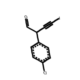 O=CC(C#CI)c1ccc(Cl)cc1